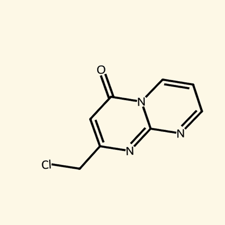 O=c1cc(CCl)nc2ncccn12